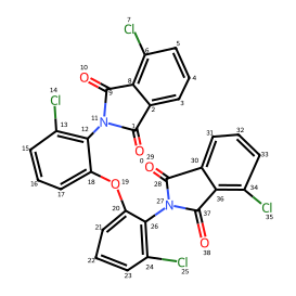 O=C1c2cccc(Cl)c2C(=O)N1c1c(Cl)cccc1Oc1cccc(Cl)c1N1C(=O)c2cccc(Cl)c2C1=O